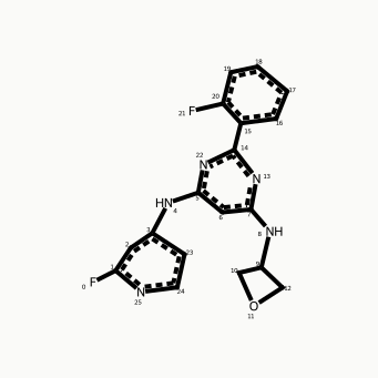 Fc1cc(Nc2cc(NC3COC3)nc(-c3ccccc3F)n2)ccn1